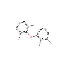 Cc1cccc(Oc2c(C)cccc2C)c1C